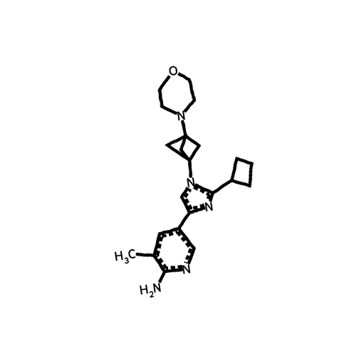 Cc1cc(-c2cn(C34CC(N5CCOCC5)(C3)C4)c(C3CCC3)n2)cnc1N